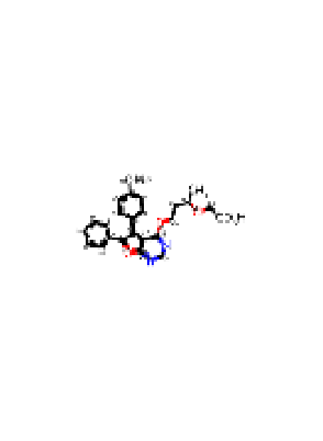 COc1ccc(-c2c(-c3ccccc3)oc3ncnc(OCC[C@@H](C)OCC(=O)O)c23)cc1